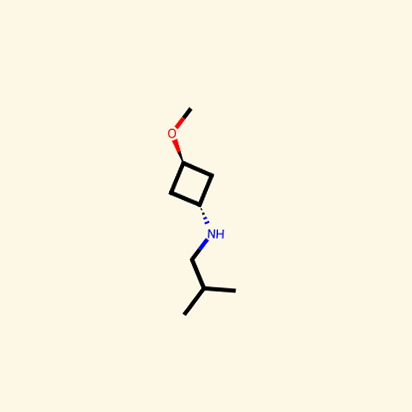 CO[C@H]1C[C@H](NCC(C)C)C1